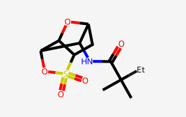 CCC(C)(C)C(=O)NC1C2CC3C(O2)C1OS3(=O)=O